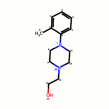 Cc1ccccc1N1CCN(CCO)CC1